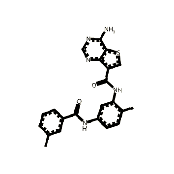 Cc1cccc(C(=O)Nc2ccc(C)c(NC(=O)c3csc4c(N)ncnc34)c2)c1